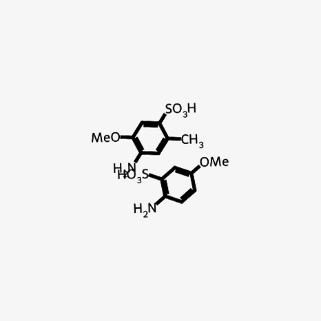 COc1cc(S(=O)(=O)O)c(C)cc1N.COc1ccc(N)c(S(=O)(=O)O)c1